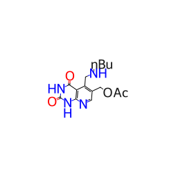 CCCCNCc1c(COC(C)=O)cnc2[nH]c(=O)[nH]c(=O)c12